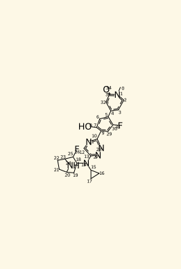 Cn1ccc(-c2cc(O)c(-c3ncc(N(C4CC4)C4CC5CCC(N5)C4F)nn3)cc2F)cc1=O